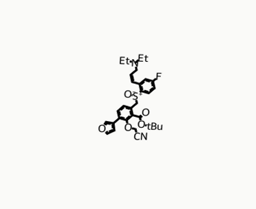 CCN(CC)C/C=C\c1cc(F)ccc1[S+]([O-])Cc1ccc(-c2ccoc2)c(OCC#N)c1C(=O)OC(C)(C)C